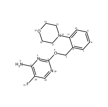 Nc1nc(OCc2ccccc2N2CCOCC2)ncc1F